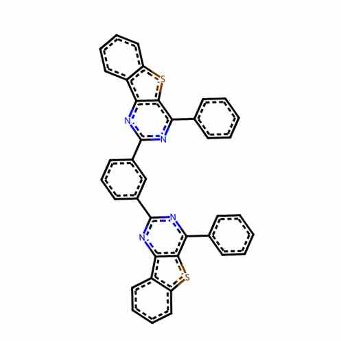 c1ccc(-c2nc(-c3cccc(-c4nc(-c5ccccc5)c5sc6ccccc6c5n4)c3)nc3c2sc2ccccc23)cc1